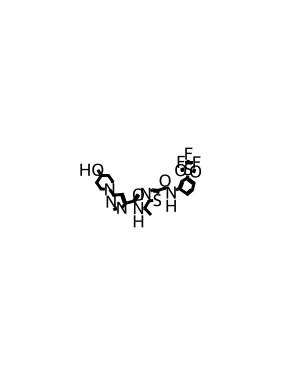 CC(NC(=O)c1cc(N2CCC(O)CC2)ncn1)c1ncc(C(=O)Nc2cccc(S(=O)(=O)C(F)(F)F)c2)s1